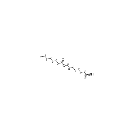 CCCCCCCC(=O)OCCCCCCCC(=O)O